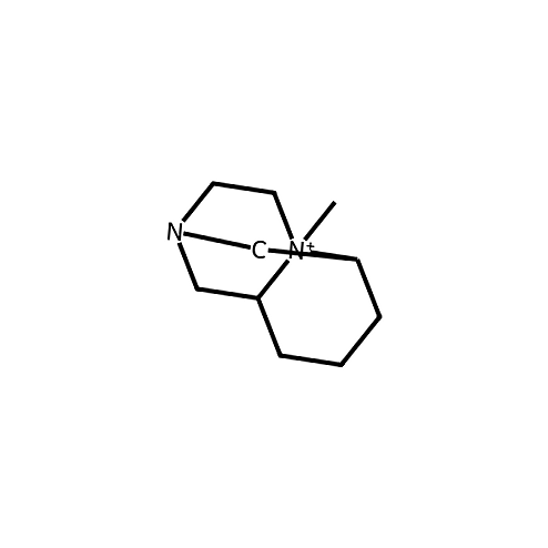 C[N+]12CCN3CC1CCCC2C3